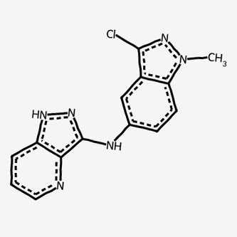 Cn1nc(Cl)c2cc(Nc3n[nH]c4cccnc34)ccc21